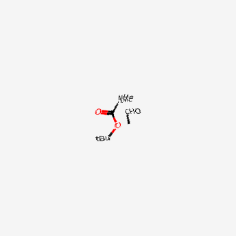 CC=O.CNC(=O)OC(C)(C)C